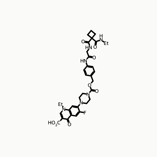 CCNC(=O)C1(C(=O)NCC(=O)Nc2ccc(COC(=O)N3CCN(c4cc5c(cc4F)c(=O)c(C(=O)O)cn5CC)CC3)cc2)CCC1